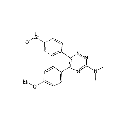 CCOc1ccc(-c2nc(N(C)C)nnc2-c2ccc([S+](C)[O-])cc2)cc1